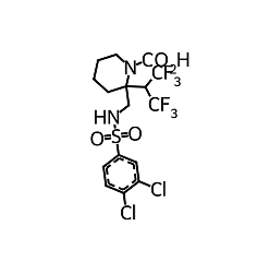 O=C(O)N1CCCCC1(CNS(=O)(=O)c1ccc(Cl)c(Cl)c1)C(C(F)(F)F)C(F)(F)F